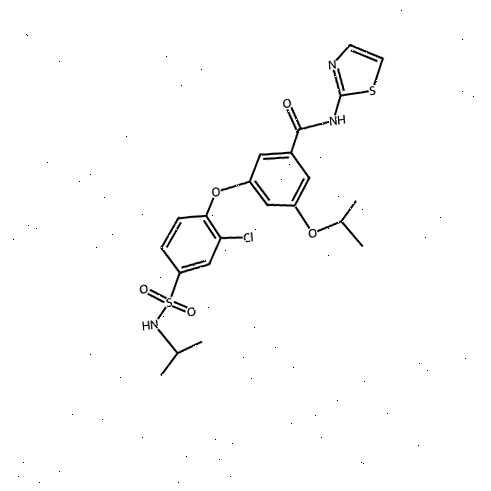 CC(C)NS(=O)(=O)c1ccc(Oc2cc(OC(C)C)cc(C(=O)Nc3nccs3)c2)c(Cl)c1